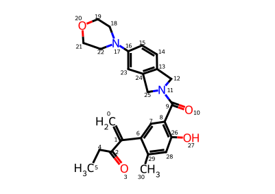 C=C(C(=O)CC)c1cc(C(=O)N2Cc3ccc(N4CCOCC4)cc3C2)c(O)cc1C